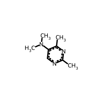 Cc1ncc(N(C)C)c(C)n1